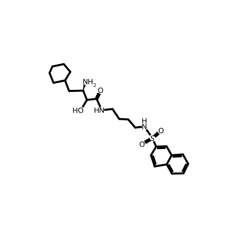 N[C@H](CC1CCCCC1)C(O)C(=O)NCCCCNS(=O)(=O)c1ccc2ccccc2c1